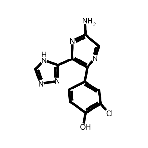 Nc1cnc(-c2ccc(O)c(Cl)c2)c(-c2nnc[nH]2)n1